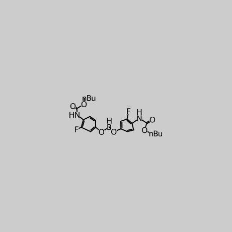 CCCCOC(=O)Nc1ccc(OBOc2ccc(NC(=O)OCCCC)c(F)c2)cc1F